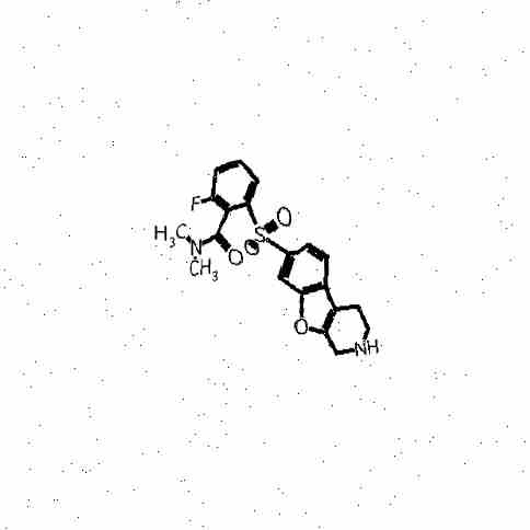 CN(C)C(=O)c1c(F)cccc1S(=O)(=O)c1ccc2c3c(oc2c1)CNCC3